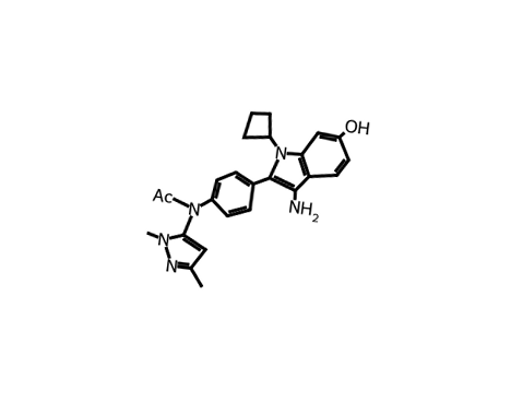 CC(=O)N(c1ccc(-c2c(N)c3ccc(O)cc3n2C2CCC2)cc1)c1cc(C)nn1C